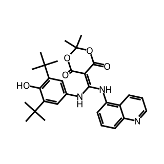 CC1(C)OC(=O)C(=C(Nc2cc(C(C)(C)C)c(O)c(C(C)(C)C)c2)Nc2cccc3ncccc23)C(=O)O1